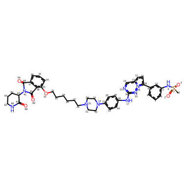 CS(=O)(=O)Nc1cccc(-c2ccc3cnc(Nc4ccc(N5CCN(CCCCCCOc6cccc7c6C(=O)N(C6CCCNC6=O)C7=O)CC5)cc4)nn23)c1